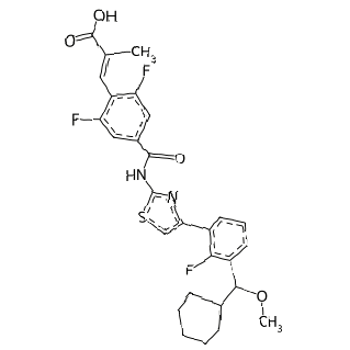 COC(c1cccc(-c2csc(NC(=O)c3cc(F)c(C=C(C)C(=O)O)c(F)c3)n2)c1F)C1CCCCC1